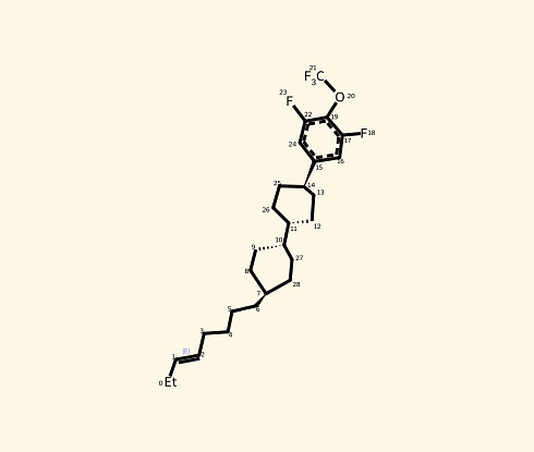 CC/C=C/CCCC[C@H]1CC[C@H]([C@H]2CC[C@H](c3cc(F)c(OC(F)(F)F)c(F)c3)CC2)CC1